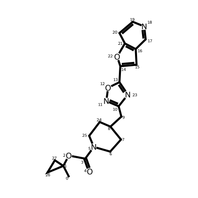 CC1(OC(=O)N2CCC(Cc3noc(-c4cc5cnccc5o4)n3)CC2)CC1